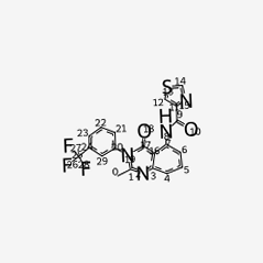 Cc1nc2cccc(NC(=O)c3cscn3)c2c(=O)n1-c1cccc(C(F)(F)F)c1